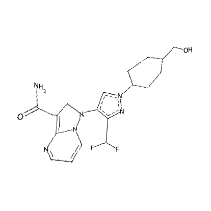 NC(=O)C1=C2N=CC=CN2N(c2cn(C3CCC(CO)CC3)nc2C(F)F)C1